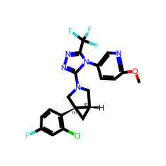 COc1ccc(-n2c(N3C[C@@H]4C[C@]4(c4ccc(F)cc4Cl)C3)nnc2C(F)(F)F)cn1